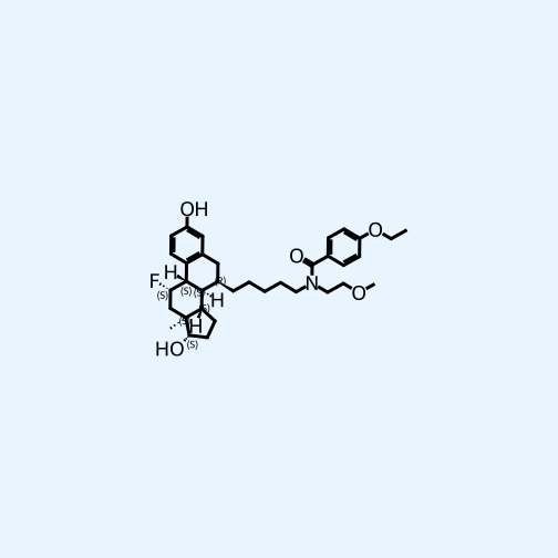 CCOc1ccc(C(=O)N(CCCCC[C@@H]2Cc3cc(O)ccc3[C@@H]3[C@@H]2[C@@H]2CC[C@H](O)[C@@]2(C)C[C@@H]3F)CCOC)cc1